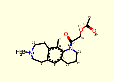 BN1CCc2cc3c(c(C)c2CC1)N(C(=O)COC(C)=O)CCC3